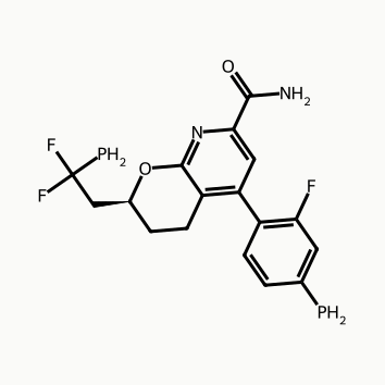 NC(=O)c1cc(-c2ccc(P)cc2F)c2c(n1)O[C@H](CC(F)(F)P)CC2